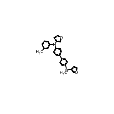 Cc1cccc(N(c2ccc(-c3ccc(N(C)c4ccoc4)cc3)cc2)c2ccoc2)c1